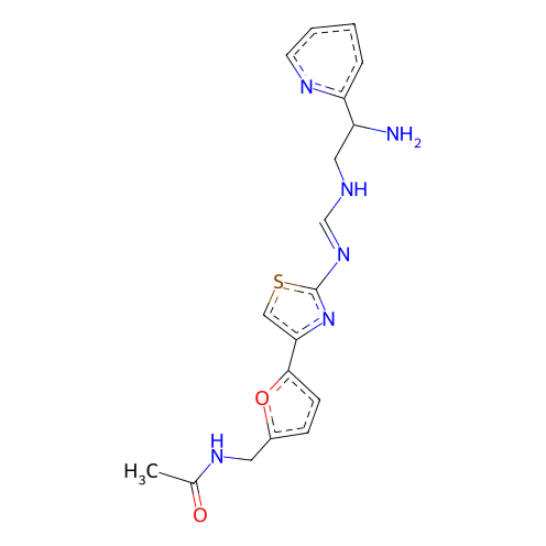 CC(=O)NCc1ccc(-c2csc(N=CNCC(N)c3ccccn3)n2)o1